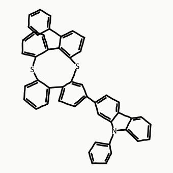 c1ccc(-c2cccc3c2-c2ccccc2Sc2ccccc2-c2ccc(-c4ccc5c6ccccc6n(-c6ccccc6)c5c4)cc2S3)cc1